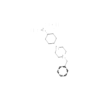 CN(C(=O)O)[C@H]1CC[C@H](N2CCN(Cc3ccccc3)CC2)CC1